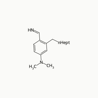 CCCCCCCCc1cc(N(C)C)ccc1C=N